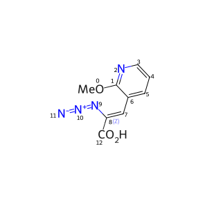 COc1ncccc1/C=C(\N=[N+]=[N-])C(=O)O